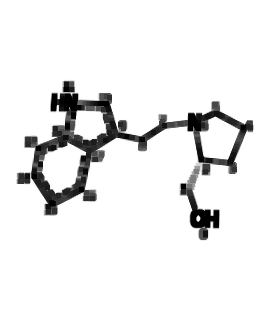 OC[C@H]1CCCN1CCc1c[nH]c2ccccc12